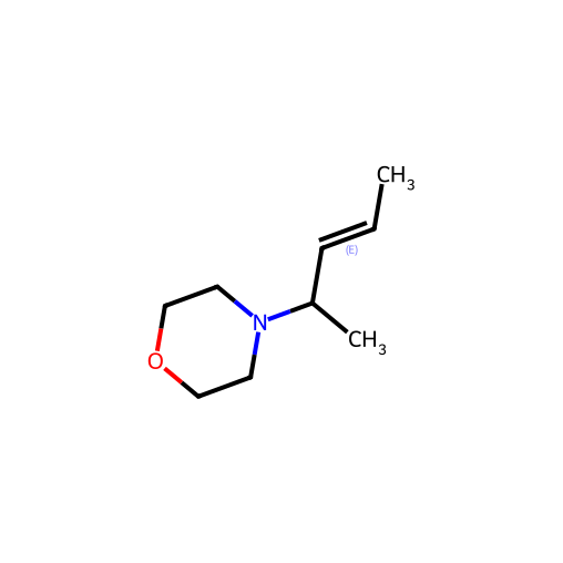 C/C=C/C(C)N1CCOCC1